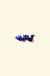 CNCc1ccc(-c2cc(-c3nc(-c4ccc(=O)n(CC5CC5C)c4)cnc3N)on2)cc1